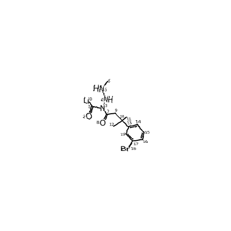 [Li][C](=O)N(NNC)C(=O)CC(C)(C)c1cccc(Br)c1